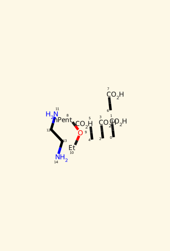 CC(=O)O.CC(=O)O.CC(=O)O.CC(=O)O.CCCCCOCC.NCCN